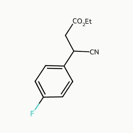 CCOC(=O)CC(C#N)c1ccc(F)cc1